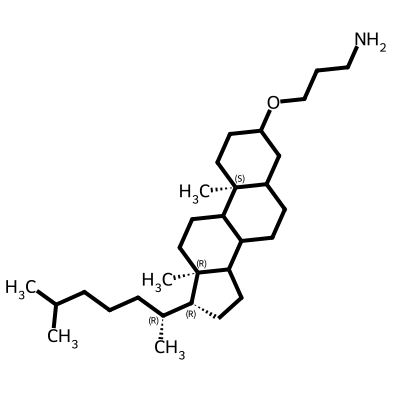 CC(C)CCC[C@@H](C)[C@H]1CCC2C3CCC4CC(OCCCN)CC[C@]4(C)C3CC[C@@]21C